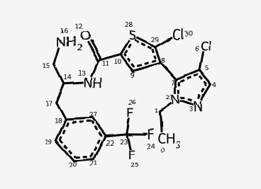 CCn1ncc(Cl)c1-c1cc(C(=O)NC(CN)Cc2cccc(C(F)(F)F)c2)sc1Cl